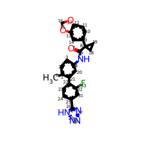 Cc1ccc(NC(=O)C2(c3ccc4c(c3)OCO4)CC2)cc1-c1ccc(-c2nnn[nH]2)cc1F